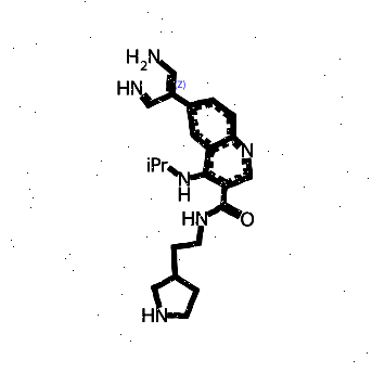 CC(C)Nc1c(C(=O)NCCC2CCNC2)cnc2ccc(/C(C=N)=C/N)cc12